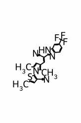 Cc1cc(C#N)c(-n2c(C)cc(/C=C(\C#N)c3nc4ccc(C(F)(F)F)cc4[nH]3)c2C)s1